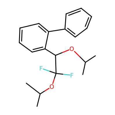 CC(C)OC(c1ccccc1-c1ccccc1)C(F)(F)OC(C)C